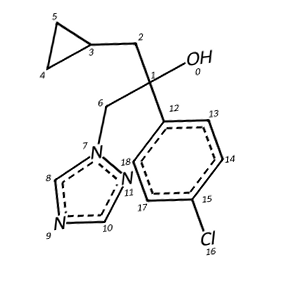 OC(CC1CC1)(Cn1cncn1)c1ccc(Cl)cc1